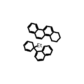 CCC1(c2cccc3ccccc23)C=CC=CC1.c1ccc2c(c1)ccc1c3c(ccc12)CCCC3